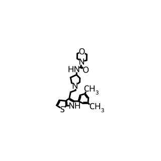 Cc1cc(C)cc(-c2[nH]c3sccc3c2CCN2CCC(NC(=O)N3CCOCC3)CC2)c1